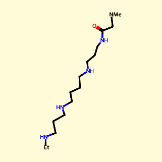 CCNCCCNCCCCNCCCNC(=O)CNC